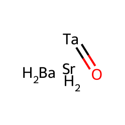 [BaH2].[O]=[Ta].[SrH2]